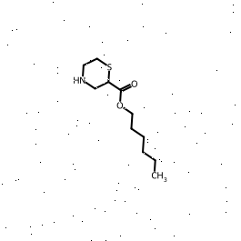 CCCCCCOC(=O)C1CNCCS1